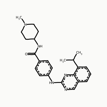 CC(C)c1cccc2cnc(Nc3ccc(C(=O)NC4CCN(C)CC4)cc3)nc12